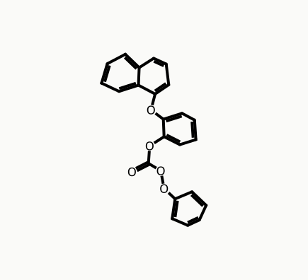 O=C(OOc1ccccc1)Oc1ccccc1Oc1cccc2ccccc12